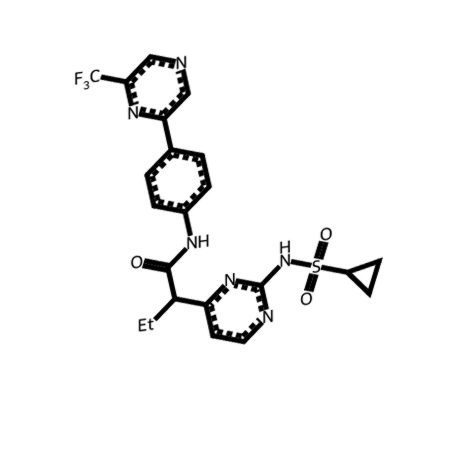 CCC(C(=O)Nc1ccc(-c2cncc(C(F)(F)F)n2)cc1)c1ccnc(NS(=O)(=O)C2CC2)n1